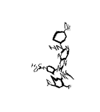 CC(=O)N1CC[C@H](n2c(Nc3ccc(F)cc3F)nc3cnc(N[C@H]4CC[C@H](O)CC4)nc32)C1